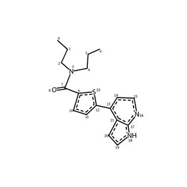 CCCN(CCC)C(=O)c1ccc(-c2ccnc3[nH]ccc23)s1